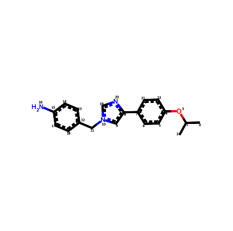 CC(C)Oc1ccc(-c2cn(Cc3ccc(N)cc3)cn2)cc1